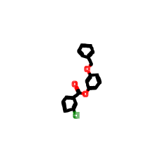 O=C(Oc1cccc(OCc2ccccc2)c1)c1cccc(Cl)c1